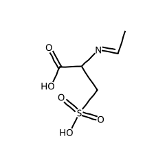 CC=NC(CS(=O)(=O)O)C(=O)O